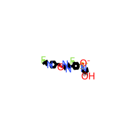 CC(C)(F)CN1CCC(COc2cnc(-c3ccc([S+]([O-])N4CC[C@H](O)C4)cc3F)cn2)CC1